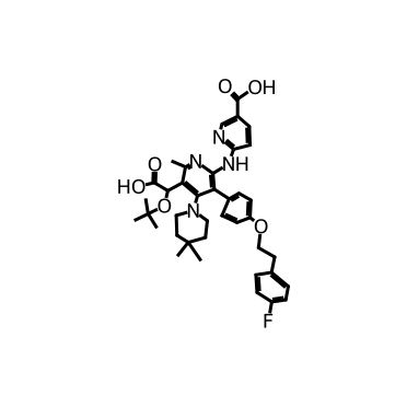 Cc1nc(Nc2ccc(C(=O)O)cn2)c(-c2ccc(OCCc3ccc(F)cc3)cc2)c(N2CCC(C)(C)CC2)c1C(OC(C)(C)C)C(=O)O